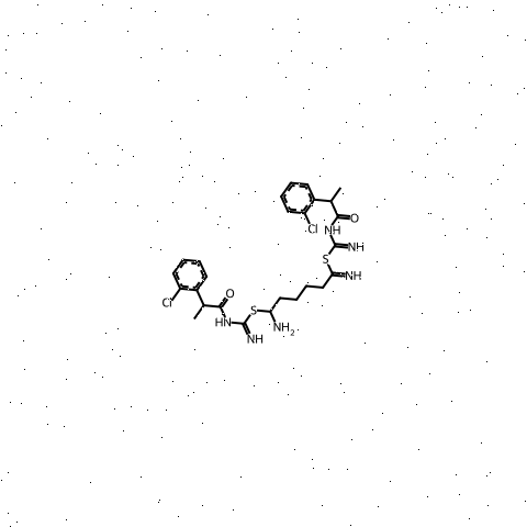 CC(C(=O)NC(=N)SC(=N)CCCCC(N)SC(=N)NC(=O)C(C)c1ccccc1Cl)c1ccccc1Cl